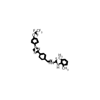 Cc1cccc(C)c1NC(=S)N/N=C/C1=CC=C(c2ncn(-c3ccc(OC(F)(F)C(F)(F)F)cc3)n2)CC1